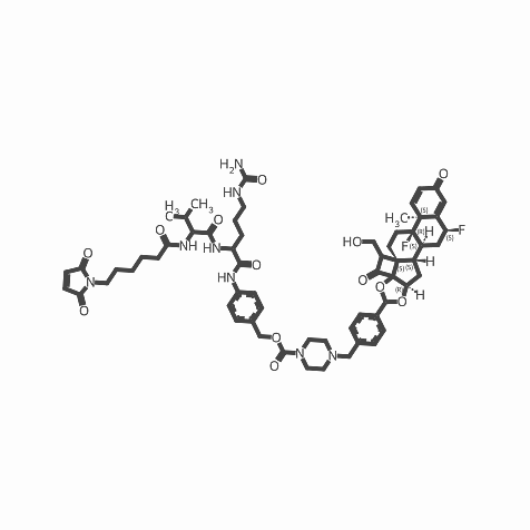 CC(C)C(NC(=O)CCCCCN1C(=O)C=CC1=O)C(=O)NC(CCCNC(N)=O)C(=O)Nc1ccc(COC(=O)N2CCN(Cc3ccc(C4O[C@@H]5C[C@H]6[C@@H]7C[C@H](F)C8=CC(=O)C=C[C@]8(C)[C@@]7(F)CC[C@@]67C(CO)C(=O)C57O4)cc3)CC2)cc1